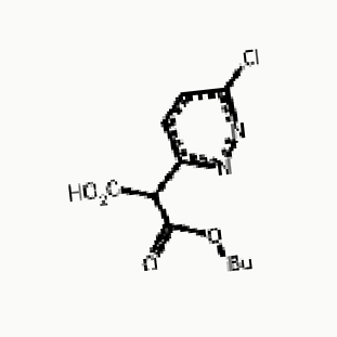 CCC(C)OC(=O)C(C(=O)O)c1ccc(Cl)nn1